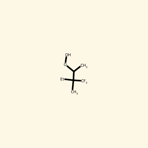 CCC(C)(C(C)OO)C(F)(F)F